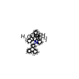 CC1(C)c2ccccc2-c2c1c1c(c3c4ccccc4n(-c4ccc5c6ccccc6c6ccccc6c5c4)c23)C(C)(C)c2ccccc2-1